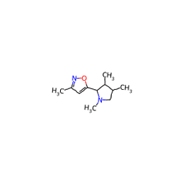 Cc1cc(C2C(C)C(C)CN2C)on1